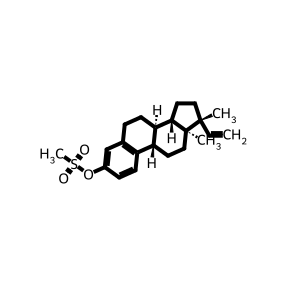 C=C[C@@]1(C)CC[C@H]2[C@@H]3CCc4cc(OS(C)(=O)=O)ccc4[C@H]3CC[C@@]21C